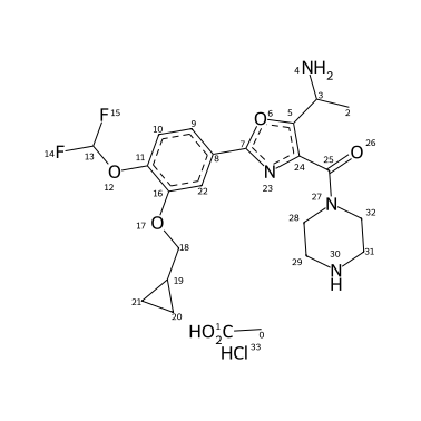 CC(=O)O.CC(N)c1oc(-c2ccc(OC(F)F)c(OCC3CC3)c2)nc1C(=O)N1CCNCC1.Cl